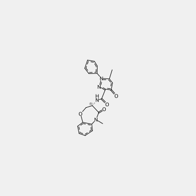 Cc1cc(=O)c(C(=O)N[C@H]2COc3ccccc3N(C)C2=O)nn1-c1ccccc1